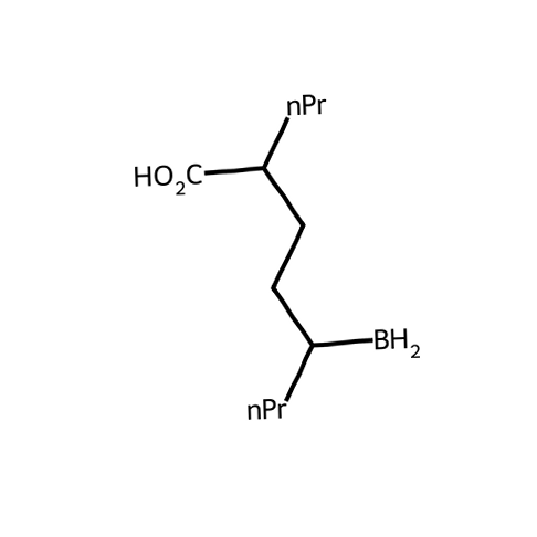 BC(CCC)CCC(CCC)C(=O)O